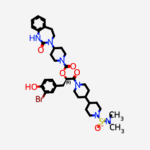 CN(C)[S+]([O-])N1CCC(C2CCN(C(=O)[C@@H](Cc3ccc(O)c(Br)c3)OC(=O)N3CCC(N4CCc5ccccc5NC4=O)CC3)CC2)CC1